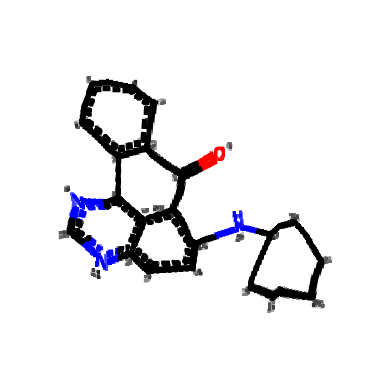 O=C1c2ccccc2-c2ncnc3ccc(NC4CCCCC4)c1c23